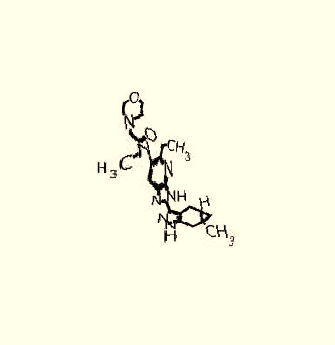 CCc1nc2[nH]c(-c3n[nH]c4c3C[C@@H]3C[C@]3(C)C4)nc2cc1N(C)C(=O)CN1CCOCC1